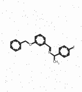 CC(N=Cc1cccc(OCc2ccccc2)c1)c1ccc(F)cc1